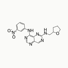 O=[N+]([O-])c1cccc(Nc2ncnc3cnc(NCC4CCCO4)nc23)c1